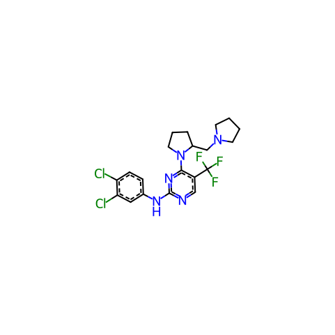 FC(F)(F)c1cnc(Nc2ccc(Cl)c(Cl)c2)nc1N1CCCC1CN1CCCC1